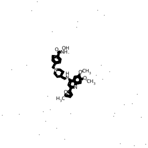 COc1cc2nc(-c3ccc(C)o3)cc(NCC3CCN(Cc4ccc(C(=O)NO)cc4)CC3)c2cc1OC